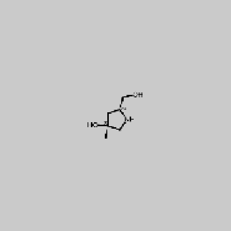 C[C@]1(O)CN[C@H](CO)C1